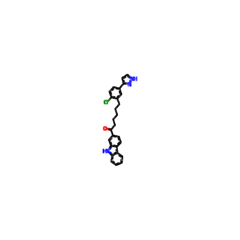 O=C(CCCCCc1cc(-c2cc[nH]n2)ccc1Cl)c1ccc2c(c1)[nH]c1ccccc12